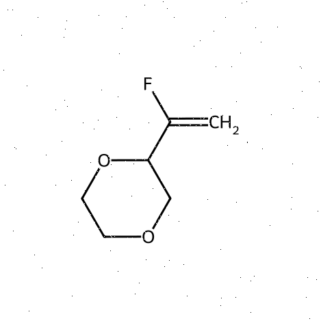 C=C(F)C1COCCO1